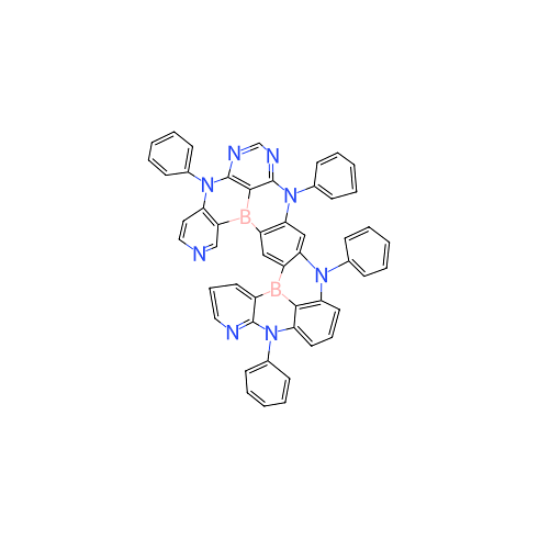 c1ccc(N2c3cc4c(cc3B3c5cccnc5N(c5ccccc5)c5cccc2c53)B2c3cnccc3N(c3ccccc3)c3ncnc(c32)N4c2ccccc2)cc1